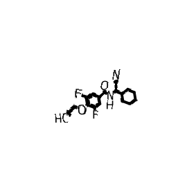 C#CCOc1c(F)cc(C(=O)NC(C#N)C2CCCCC2)cc1F